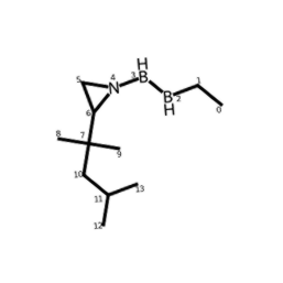 CCBBN1CC1C(C)(C)CC(C)C